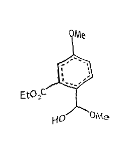 CCOC(=O)c1cc(OC)ccc1C(O)OC